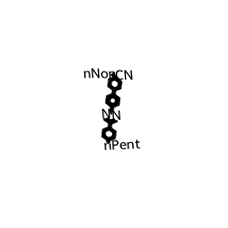 CCCCCCCCCC1(C#N)CCC(c2ccc(-c3ncc(C4CCC(CCCCC)CC4)cn3)cc2)CC1